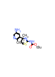 COc1ncc(N)cc1[C@]1(C)CCSC(NC(=O)OC(C)(C)C)=N1